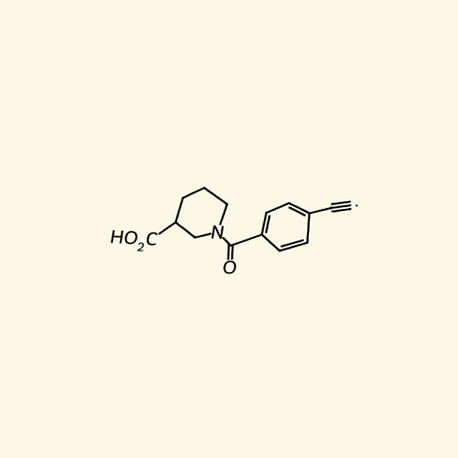 [C]#Cc1ccc(C(=O)N2CCCC(C(=O)O)C2)cc1